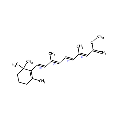 C=C(/C=C(C)/C=C/C=C(C)/C=C/C1=C(C)CCCC1(C)C)OC